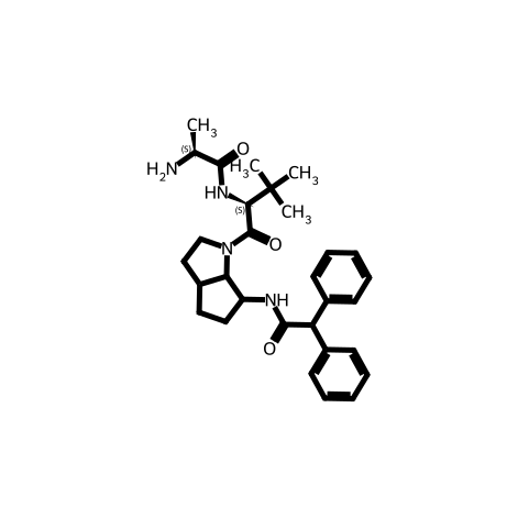 C[C@H](N)C(=O)N[C@H](C(=O)N1CCC2CCC(NC(=O)C(c3ccccc3)c3ccccc3)C21)C(C)(C)C